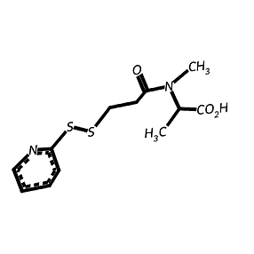 CC(C(=O)O)N(C)C(=O)CCSSc1ccccn1